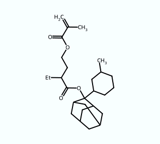 C=C(C)C(=O)OCCC(CC)C(=O)OC1(C2CCCC(C)C2)C2CC3CC(C2)CC1C3